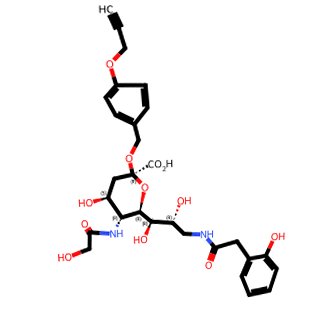 C#CCOc1ccc(CO[C@]2(C(=O)O)C[C@H](O)[C@@H](NC(=O)CO)[C@H]([C@H](O)[C@H](O)CNC(=O)Cc3ccccc3O)O2)cc1